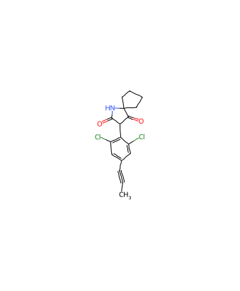 CC#Cc1cc(Cl)c(C2C(=O)NC3(CCCC3)C2=O)c(Cl)c1